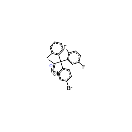 C/C(=N/O)C(c1ccc(Br)cc1)(c1ccccc1C)c1cc(F)ccc1F